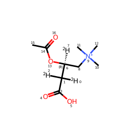 [2H]C([2H])(C(=O)O)[C@]([2H])(C[N+](C)(C)C)OC(C)=O